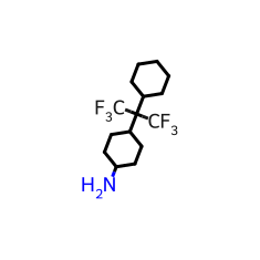 NC1CCC(C(C2CCCCC2)(C(F)(F)F)C(F)(F)F)CC1